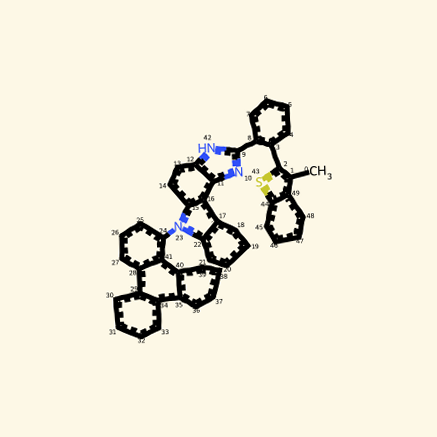 Cc1c(-c2ccccc2-c2nc3c(ccc4c3c3ccccc3n4-c3cccc4c5ccccc5c5ccccc5c34)[nH]2)sc2ccccc12